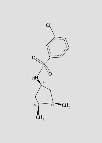 C[C@@H]1C[C@H](NS(=O)(=O)c2cccc(Cl)c2)C[C@@H]1C